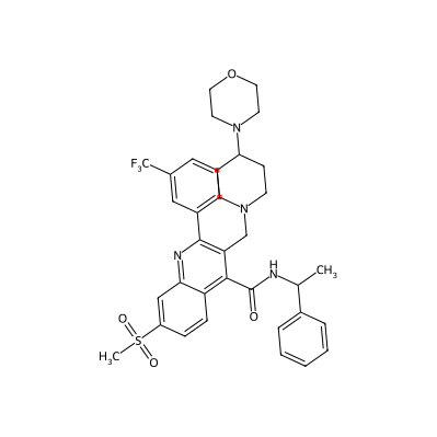 CC(NC(=O)c1c(CN2CCC(N3CCOCC3)CC2)c(-c2cccc(C(F)(F)F)c2)nc2cc(S(C)(=O)=O)ccc12)c1ccccc1